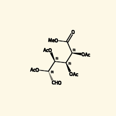 COC(=O)[C@@H](OC(C)=O)[C@@H](OC(C)=O)[C@H](OC(C)=O)[C@H](C=O)OC(C)=O